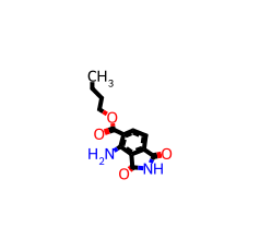 CCCCOC(=O)c1ccc2c(c1N)C(=O)NC2=O